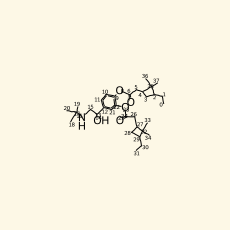 CCC1CC(CC(=O)Oc2ccc(C(O)CNC(C)(C)C)cc2OC(=O)CC2CC(CC)C2(C)C)C1(C)C